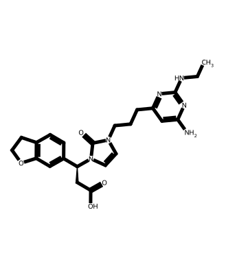 CCNc1nc(N)cc(CCCn2ccn([C@@H](CC(=O)O)c3ccc4c(c3)OCC4)c2=O)n1